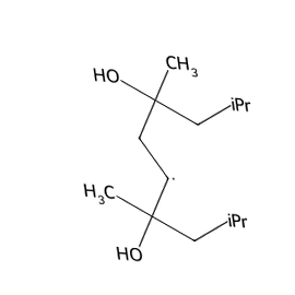 CC(C)CC(C)(O)[CH]CC(C)(O)CC(C)C